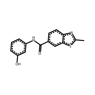 Cc1nc2ccc(C(=O)Nc3cccc(O)c3)cc2s1